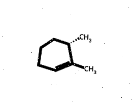 CC1=CCCC[C@@H]1C